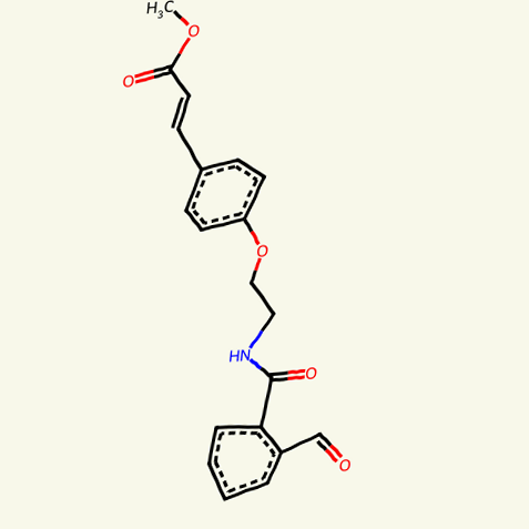 COC(=O)/C=C/c1ccc(OCCNC(=O)c2ccccc2C=O)cc1